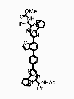 COC(=O)N[C@H](C(=O)N1CC2CCC1(c1nc(-c3ccc(-c4ccc(-c5c[nH]c(C67CCC(CN6C(=O)[C@@H](NC(C)=O)C(C)C)C7)n5)cc4)c4ccoc34)c[nH]1)C2)C(C)C